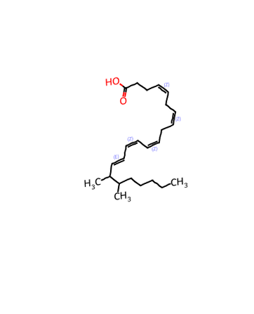 CCCCCC(C)C(C)/C=C/C=C\C=C/C/C=C\C/C=C\CCC(=O)O